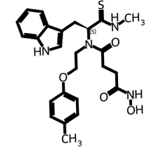 CNC(=S)[C@H](Cc1c[nH]c2ccccc12)N(CCOc1ccc(C)cc1)C(=O)CCC(=O)NO